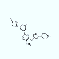 Cc1cc(-c2cnc(N)c(Oc3cnn(C4CCN(C)CC4)c3)n2)cc([C@@H]2CCC(=O)N2)c1